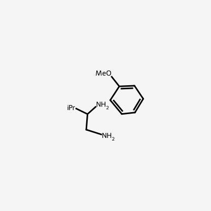 CC(C)C(N)CN.COc1ccccc1